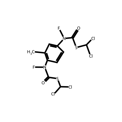 Cc1cc(N(F)C(=O)SC(Cl)Cl)ccc1N(F)C(=O)SC(Cl)Cl